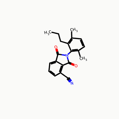 CCCc1c(C)ccc(C)c1N1C(=O)c2cccc(C#N)c2C1=O